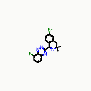 CC1(C)Cc2cc(Br)ccc2C(c2nnc3c(F)cccc3n2)=N1